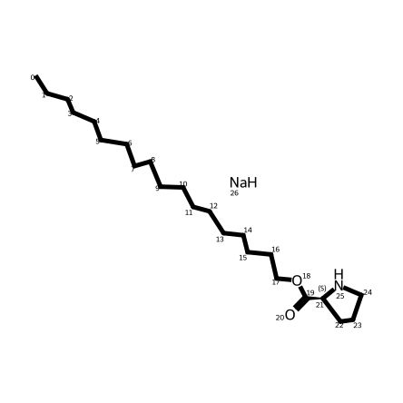 CCCCCCCCCCCCCCCCCCOC(=O)[C@@H]1CCCN1.[NaH]